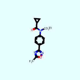 CCOC(=O)N(C(=O)C1CC1)c1ccc(-c2noc(C(F)(F)F)n2)cc1